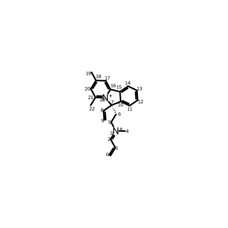 C=C/C=[N+](\C)CC[C@@]1(C=C)c2ccccc2-c2cc(C)cc(C)[n+]21